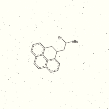 CCCCC(CC)CC1Cc2cccc3ccc4cccc1c4c23